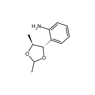 [CH2][C@@H]1OC(C)O[C@H]1c1ccccc1N